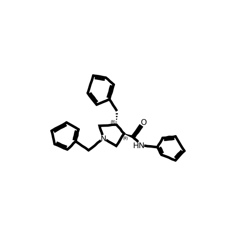 O=C(Nc1ccccc1)[C@H]1CN(Cc2ccccc2)C[C@@H]1Cc1ccccc1